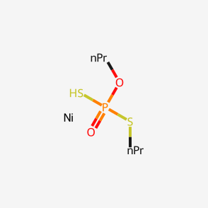 CCCOP(=O)(S)SCCC.[Ni]